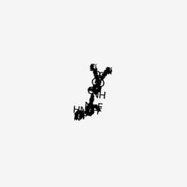 COc1cc(S(=O)(=O)N(COCC[Si](C)(C)C)COCC[Si](C)(C)C)ccc1NCC#Cc1nc2c(N[C@@H]3CCN(C)C[C@@H]3F)cccn2c1CC(F)(F)F